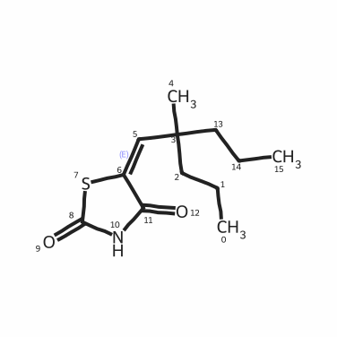 CCCC(C)(/C=C1/SC(=O)NC1=O)CCC